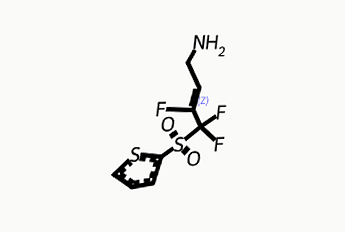 NC/C=C(\F)C(F)(F)S(=O)(=O)c1cccs1